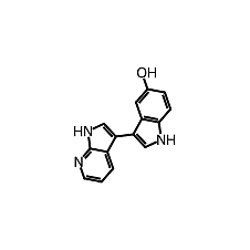 Oc1ccc2[nH]cc(-c3c[nH]c4ncccc34)c2c1